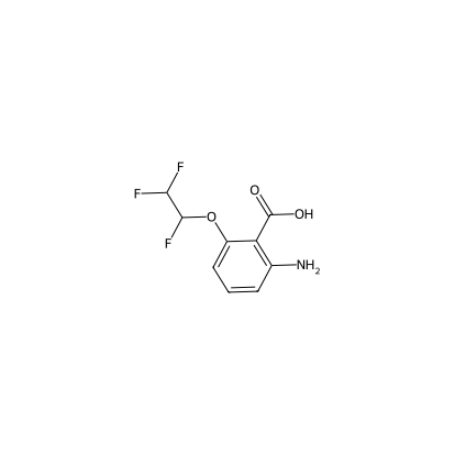 Nc1cccc(OC(F)C(F)F)c1C(=O)O